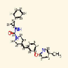 Cc1ccc(Oc2cccc(C=C3CCN(C(=O)N[C@H]4C[C@@H]4c4ccccc4)CC3)c2)nc1